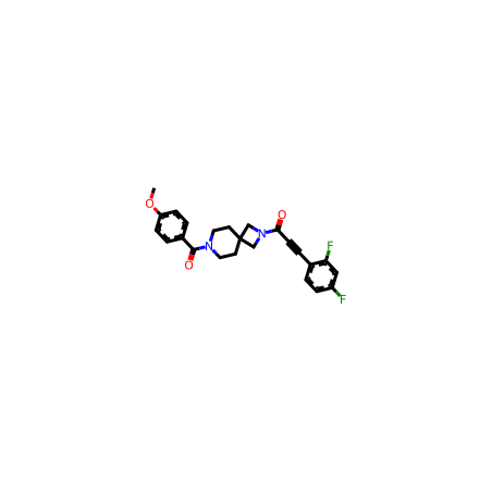 COc1ccc(C(=O)N2CCC3(CC2)CN(C(=O)C#Cc2ccc(F)cc2F)C3)cc1